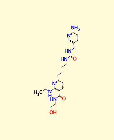 CCNc1nc(CCCCNC(=O)NCc2ccc(N)nc2)ccc1C(=O)NCCO